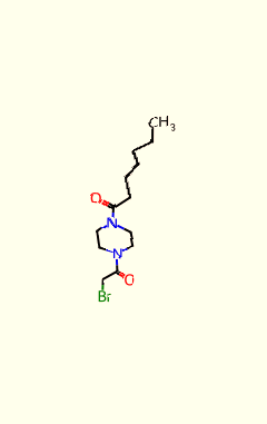 CCCCCCC(=O)N1CCN(C(=O)CBr)CC1